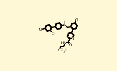 O=C(O)CCNC(=O)c1ccc(-c2ccc(Cl)cc2CNc2ccc(-c3ccc(Cl)cc3Cl)cc2)cn1